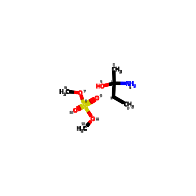 CCC(C)(N)O.COS(=O)(=O)OC